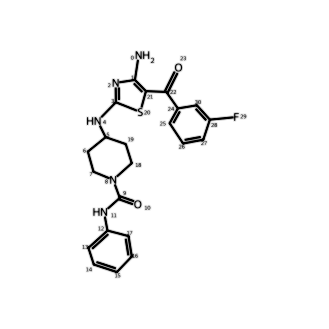 Nc1nc(NC2CCN(C(=O)Nc3ccccc3)CC2)sc1C(=O)c1cccc(F)c1